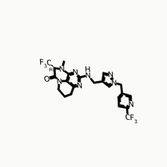 CN1c2nc(NCc3cnn(Cc4ccc(C(F)(F)F)nc4)c3)nc3c2N(CCC3)C(=O)[C@@H]1C(F)(F)F